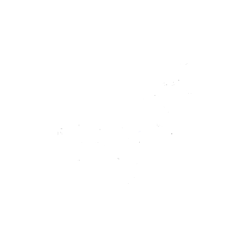 COc1ccc(C(=O)/C=C/c2ccc(C(=O)OC(C)C)cc2OC(C)C)c(S)c1